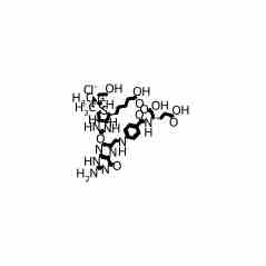 C[N+](C)(C)CCO.Nc1nc(=O)c2nc(CNc3ccc(C(=O)N[C@@H](CCC(=O)O)C(=O)O)cc3)cnc2[nH]1.O=C(O)CCCC[C@@H]1SC[C@@H]2NC(=O)N[C@@H]21.[Cl-]